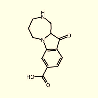 O=C(O)c1ccc2c(c1)N1CCCNCC1C2=O